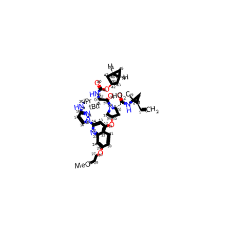 C=C[C@@H]1C[C@]1(NC(=O)[C@@H]1C[C@@H](Oc2cc(-n3ccc(NC(C)C)n3)nc3cc(OCCOC)ccc23)CN1C(=O)[C@@H](NC(=O)O[C@@H]1C[C@@H]2C[C@@H]2C1)C(C)(C)C)C(=O)O